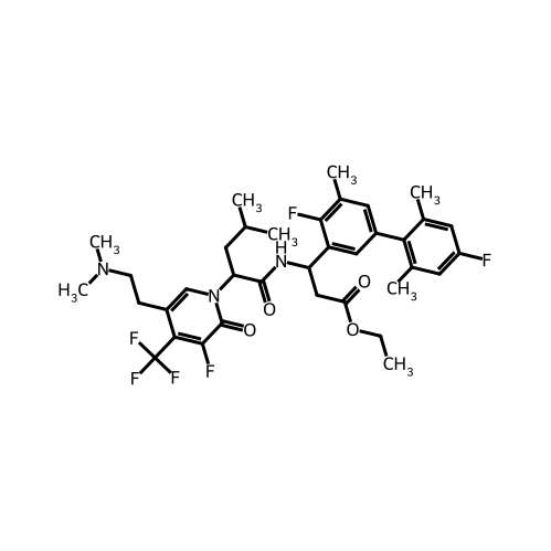 CCOC(=O)CC(NC(=O)C(CC(C)C)n1cc(CCN(C)C)c(C(F)(F)F)c(F)c1=O)c1cc(-c2c(C)cc(F)cc2C)cc(C)c1F